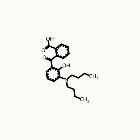 CCCCN(CCCC)c1cccc(C(=O)c2ccccc2C(=O)O)c1O